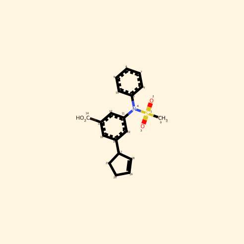 CS(=O)(=O)N(c1ccccc1)c1cc(C(=O)O)cc(C2C=CCC2)c1